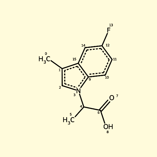 Cc1cn(C(C)C(=O)O)c2ccc(F)cc12